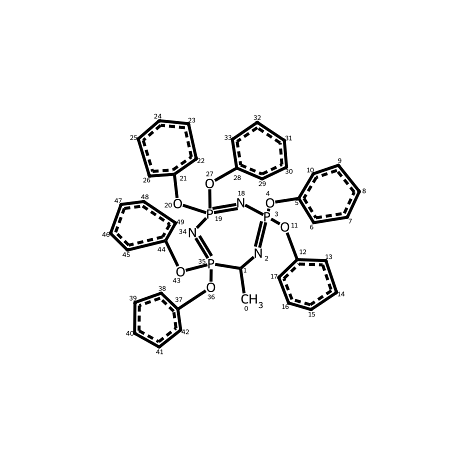 CC1N=P(Oc2ccccc2)(Oc2ccccc2)N=P(Oc2ccccc2)(Oc2ccccc2)N=P1(Oc1ccccc1)Oc1ccccc1